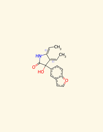 C/C=C1/NC(=O)C(O)(c2ccc3occc3c2)/C1=C/C